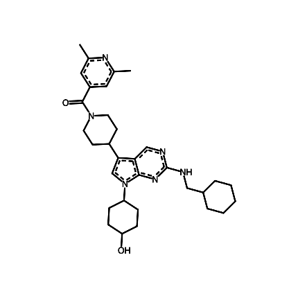 Cc1cc(C(=O)N2CCC(c3cn(C4CCC(O)CC4)c4nc(NCC5CCCCC5)ncc34)CC2)cc(C)n1